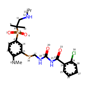 CNc1ccc(S(=O)(=O)C(C)(C)CNC(C)C)cc1SCNC(=O)NC(=O)c1ccccc1Cl